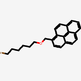 BrCCCCCCOCc1ccc2ccc3cccc4ccc1c2c34